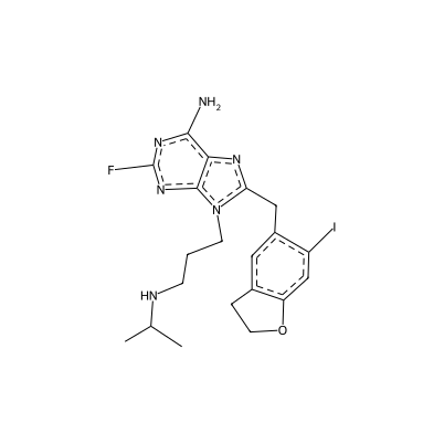 CC(C)NCCCn1c(Cc2cc3c(cc2I)OCC3)nc2c(N)nc(F)nc21